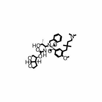 COc1ccc(S(=O)(=O)N(Cc2ccccc2)[C@H](NC(=O)O[C@@H]2CO[C@@H]3OCC[C@@H]32)[C@@H](C)O)cc1CC(C)(C)CCN(C)C